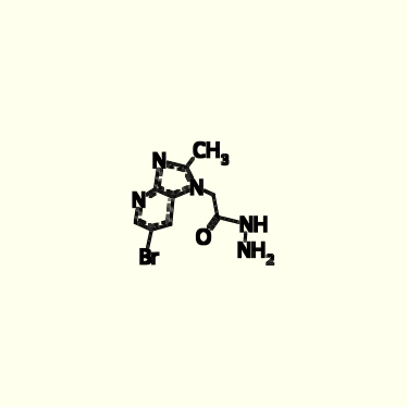 Cc1nc2ncc(Br)cc2n1CC(=O)NN